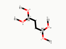 CCO[SiH](CC[SiH](OCC)OCC)OCC